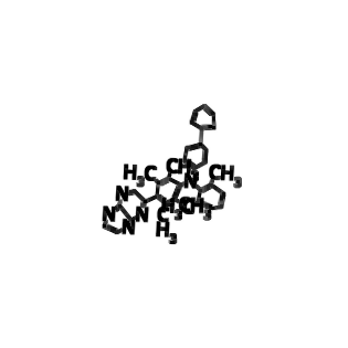 Cc1cccc(C)c1N(c1ccc(-c2ccccc2)cc1)c1c(C)c(C)c(-c2cnc3nccnc3n2)c(C)c1C